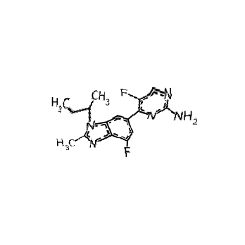 CCC(C)n1c(C)nc2c(F)cc(-c3nc(N)ncc3F)cc21